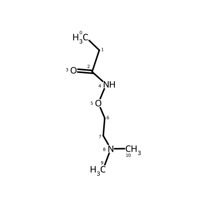 CCC(=O)NOCCN(C)C